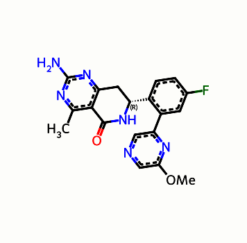 COc1cncc(-c2cc(F)ccc2[C@H]2Cc3nc(N)nc(C)c3C(=O)N2)n1